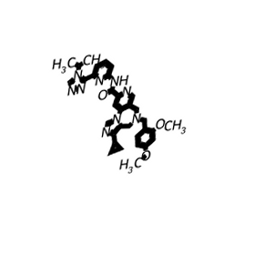 COc1ccc(CN2Cc3cnc(C(=O)Nc4cccc(-c5nncn5C(C)C)n4)cc3-n3cnc(C4CC4)c3C2)c(OC)c1